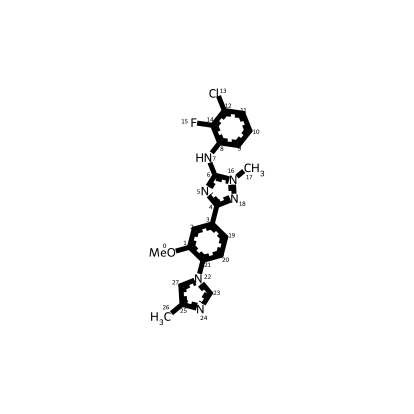 COc1cc(-c2nc(Nc3cccc(Cl)c3F)n(C)n2)ccc1-n1cnc(C)c1